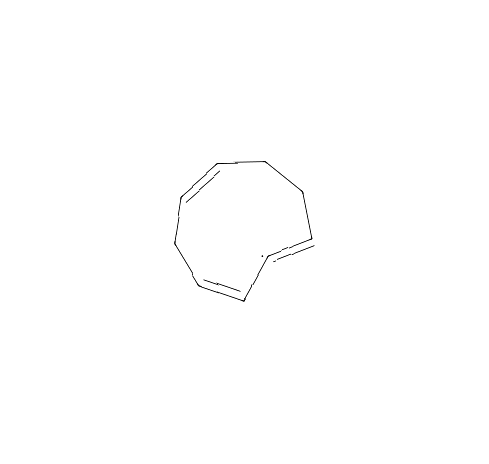 [C]1=C/CC/C=C\C\C=C/1